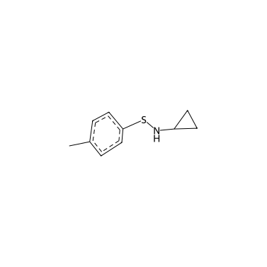 Cc1ccc(SNC2CC2)cc1